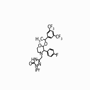 CC(OC1OCCN(Cc2nn(C(C)C)c(=O)[nH]2)C1c1ccc(F)cc1)c1cc(C(F)(F)F)cc(C(F)(F)F)c1